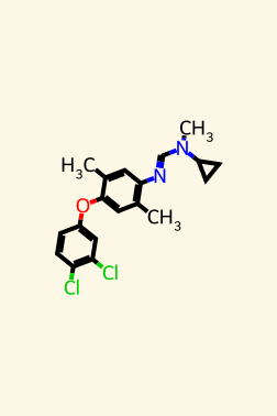 Cc1cc(Oc2ccc(Cl)c(Cl)c2)c(C)cc1N=CN(C)C1CC1